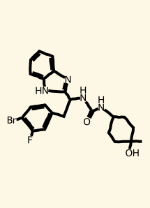 CC1(O)CCC(NC(=O)NC(Cc2ccc(Br)c(F)c2)c2nc3ccccc3[nH]2)CC1